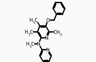 Cc1nc(N(C)c2ccccn2)c(C)c(C)c1OCc1ccccc1